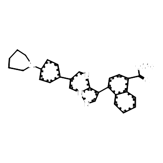 COC(=O)c1ccc(-c2cnn3cc(-c4ccc(N5CCCCC5)cc4)cnc23)c2ccccc12